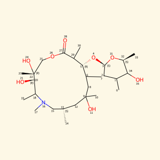 CC1C[C@@H](O[C@@H]2C(C)CC(C)(O)C[C@H](C)CN(C)C(C)[C@@H](O)[C@](C)(O)COC(=O)C2C)O[C@@H](C)C1O